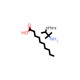 CCCCCCC(C)C(C)(C)N.CCCCCCCCCC(=O)O